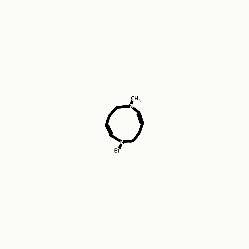 CCN1/C=C\CCN(C)/C=C\CC1